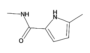 CNC(=O)c1ccc(C)[nH]1